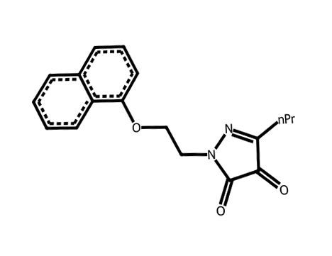 CCCC1=NN(CCOc2cccc3ccccc23)C(=O)C1=O